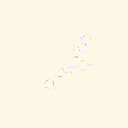 O=C(N[C@@H]1CCN(C2CCC2)C[C@H]1C(=O)NC1(c2ncccn2)CC1)c1cc(-c2ccc(F)cc2F)on1